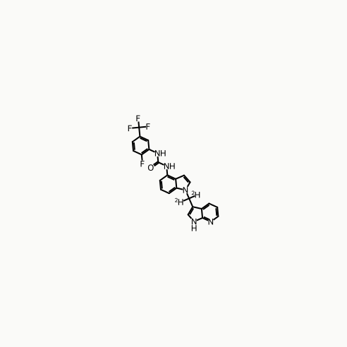 [2H]C([2H])(c1c[nH]c2ncccc12)n1ccc2c(NC(=O)Nc3cc(C(F)(F)F)ccc3F)cccc21